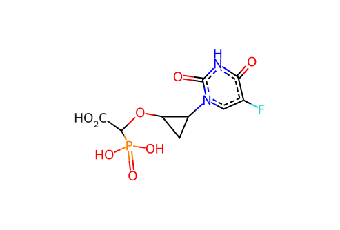 O=C(O)C(OC1CC1n1cc(F)c(=O)[nH]c1=O)P(=O)(O)O